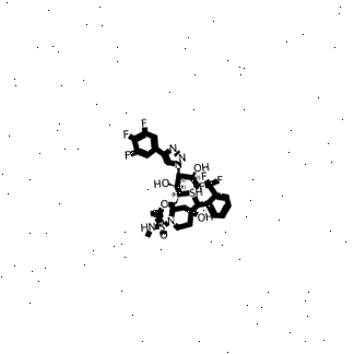 CNS(=O)(=O)N1CCC(O)(C(c2ccccc2C(F)(F)F)[SH]2C[C@H](O)[C@H](n3cc(-c4cc(F)c(F)c(F)c4)nn3)[C@@H](O)[C@H]2COC(C)=O)CC1